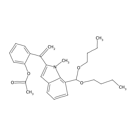 C=C(c1ccccc1OC(C)=O)c1cc2cccc(C(OCCCC)OCCCC)c2n1C